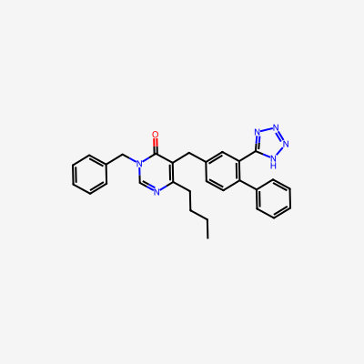 CCCCc1ncn(Cc2ccccc2)c(=O)c1Cc1ccc(-c2ccccc2)c(-c2nnn[nH]2)c1